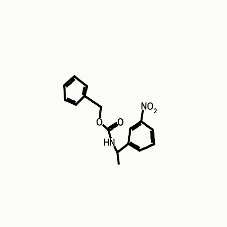 CC(NC(=O)OCc1ccccc1)c1cccc([N+](=O)[O-])c1